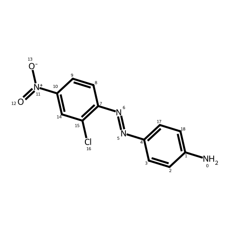 Nc1ccc(N=Nc2ccc([N+](=O)[O-])cc2Cl)cc1